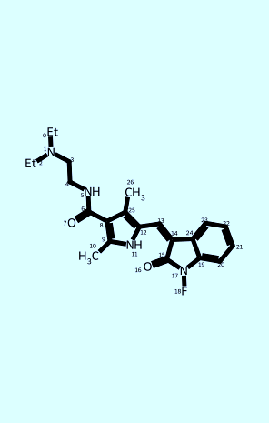 CCN(CC)CCNC(=O)c1c(C)[nH]c(C=C2C(=O)N(F)c3ccccc32)c1C